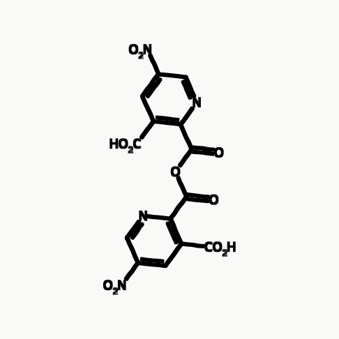 O=C(O)c1cc([N+](=O)[O-])cnc1C(=O)OC(=O)c1ncc([N+](=O)[O-])cc1C(=O)O